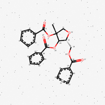 CC1(OC(=O)c2ccccc2)CO[C@H](COC(=O)c2ccccc2)C1OC(=O)c1ccccc1